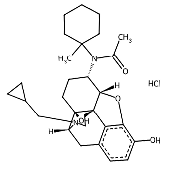 CC(=O)N([C@H]1CC[C@@]2(O)[C@H]3Cc4ccc(O)c5c4[C@@]2(CCN3CC2CC2)[C@H]1O5)C1(C)CCCCC1.Cl